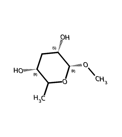 CO[C@@H]1OC(C)[C@H](O)C[C@@H]1O